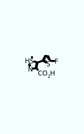 C[SH]1C=NC(C(=O)O)=C1c1ccc(F)s1